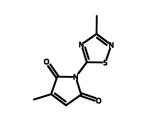 CC1=CC(=O)N(c2nc(C)ns2)C1=O